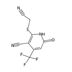 N#CCSc1[nH]c(=O)cc(C(F)(F)F)c1C#N